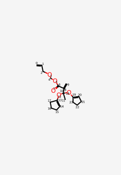 C=CCOCOC(=O)C(=C)C(C)(OC1=CCCC1)OC1=CCCC1